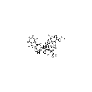 CCOC(=O)N[C@H](C(=O)N1CC2[C@H](C1C(=O)N[C@H](C#N)CC1C(=O)Nc3ccccc31)C2(C)C)C(C)(C)C